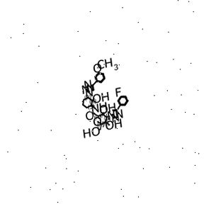 COc1cccc(-c2cn([C@@H]3CCC[C@H](NC(=O)[C@@H]4O[C@H](CO)[C@H](O)[C@H](n5cc(-c6cccc(F)c6)nn5)[C@H]4O)[C@H]3O)nn2)c1